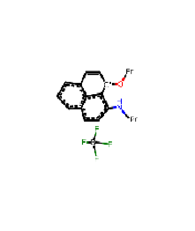 CCO[C+]1C=Cc2cccc3ccc(NC(C)C)c1c23.F[B-](F)(F)F